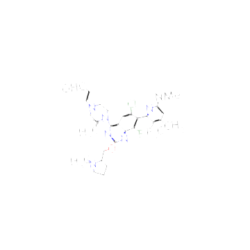 CNc1cc(C)c(C(F)(F)F)c(-c2c(Cl)cc3c(N4CCN(C=CC=O)C[C@@H]4C)nc(OCC4CCCN4C)nc3c2F)n1